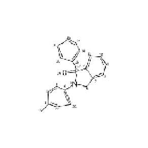 Cc1ccc(N2Cc3ccccc3P2(=O)c2ccccc2)cc1